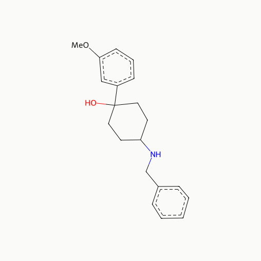 COc1cccc(C2(O)CCC(NCc3ccccc3)CC2)c1